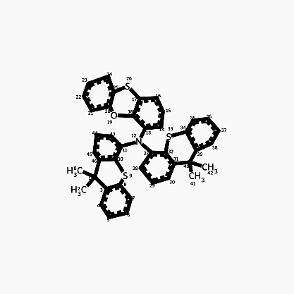 CC1(C)c2ccccc2Sc2c(N(c3cccc4c3Oc3ccccc3S4)c3cccc4c3Sc3ccccc3C4(C)C)cccc21